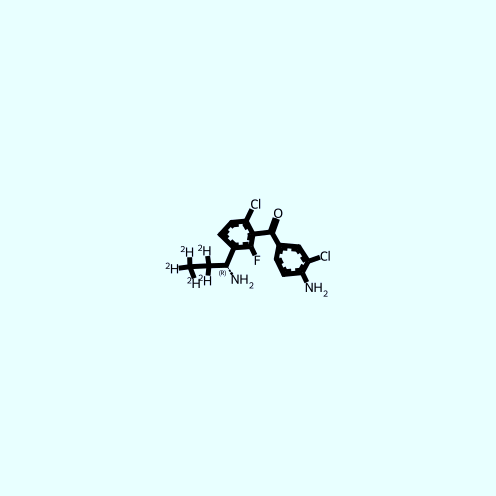 [2H]C([2H])([2H])C([2H])([2H])[C@@H](N)c1ccc(Cl)c(C(=O)c2ccc(N)c(Cl)c2)c1F